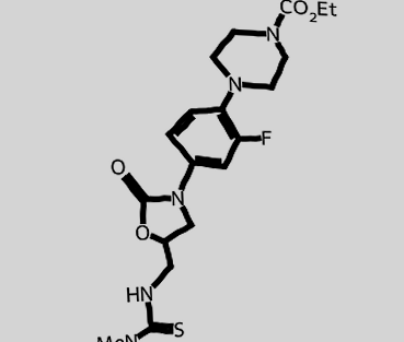 CCOC(=O)N1CCN(c2ccc(N3CC(CNC(=S)NC)OC3=O)cc2F)CC1